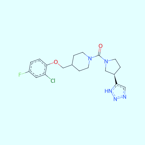 O=C(N1CCC(COc2ccc(F)cc2Cl)CC1)N1CC[C@@H](c2cnn[nH]2)C1